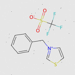 O=S(=O)([O-])C(F)(F)F.c1ccc(C[n+]2ccsc2)cc1